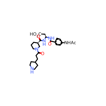 CC(=O)Nc1ccc(C(=O)N[C@H](CC(=O)O)NC(=O)[C@@H]2CCCN(C(=O)CCC3CCNCC3)C2)cc1